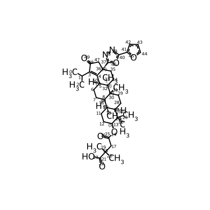 CC(C)C1=C2[C@H]3CC[C@@H]4[C@@]5(C)CC[C@H](OC(=O)CC(C)(C)C(=O)O)C(C)(C)[C@@H]5CC[C@@]4(C)[C@]3(C)CC[C@@]2(c2nnc(-c3ccco3)o2)CC1=O